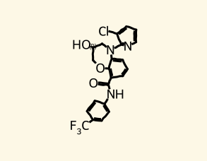 O=C(Nc1ccc(C(F)(F)F)cc1)c1cccc2c1OC[C@H](O)CN2c1ncccc1Cl